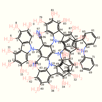 Bc1cc2c(c(B)c1B)c1c(B)c(B)c(B)c(B)c1n2-c1c(C#N)c(-n2c3c(B)c(B)c(B)c(B)c3c3c(B)c(B)c(B)c(B)c32)c(-n2c3ccccc3c3c2ccc2c4ccccc4n(-c4ccccc4)c23)c(-n2c3c(B)c(B)c(B)c(B)c3c3c(B)c(B)c(B)c(B)c32)c1C#N